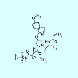 C=CC(=O)N[C@H](C)C(=O)N1C[C@H](Oc2nccc3cc(OC)ccc23)C[C@H]1C(=O)N[C@]1(C(=O)NS(=O)(=O)C2CC2)C[C@H]1C=C